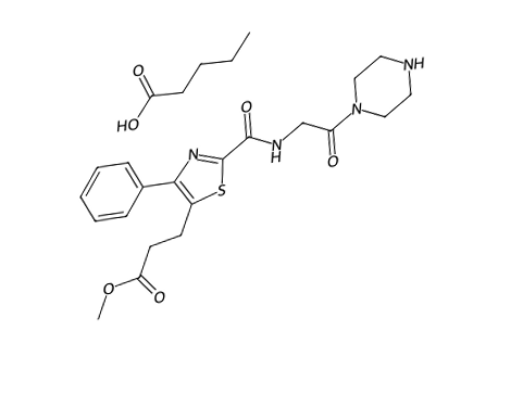 CCCCC(=O)O.COC(=O)CCc1sc(C(=O)NCC(=O)N2CCNCC2)nc1-c1ccccc1